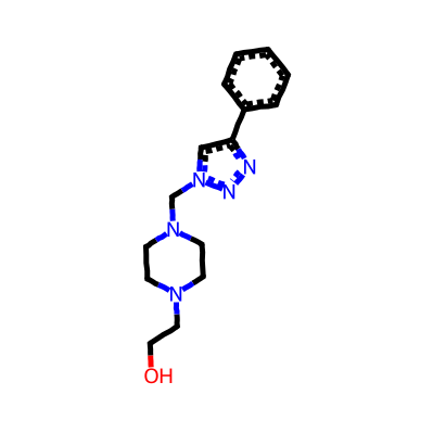 OCCN1CCN(Cn2cc(-c3ccccc3)nn2)CC1